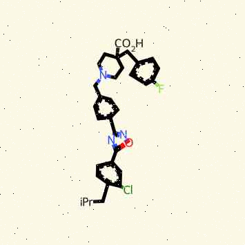 CC(C)Cc1ccc(-c2nc(-c3ccc(CN4CCC(Cc5ccc(F)cc5)(C(=O)O)CC4)cc3)no2)cc1Cl